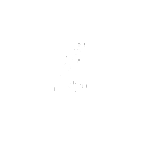 Cc1c(-c2ccc3c(c2)CN(c2nc(N)nc4c2CC(C)(C)CC4)CCO3)cnc2sc(N)nc12